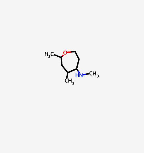 CNC1CCOC(C)CC1C